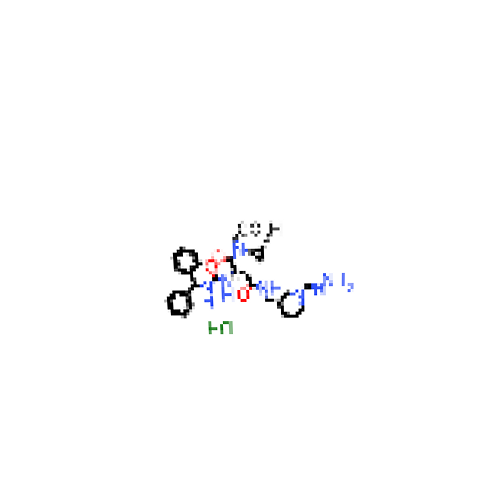 Cl.NN=CN1CCC[C@@H](CNC(=O)C[C@H](NC(=O)NC(c2ccccc2)c2ccccc2)C(=O)N(CC(=O)O)C2CC2)C1